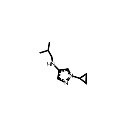 CC(C)CNc1cnn(C2CC2)c1